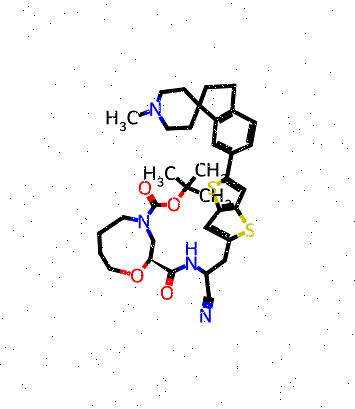 CN1CCC2(CCc3ccc(-c4cc5sc(CC(C#N)NC(=O)[C@@H]6CN(C(=O)OC(C)(C)C)CCCCO6)cc5s4)cc32)CC1